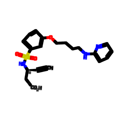 C#C[C@H](CC(=O)O)NS(=O)(=O)c1cccc(OCCCCNc2ccccn2)c1